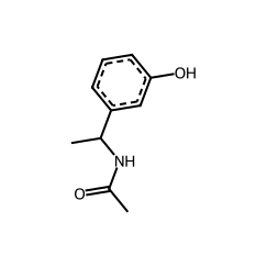 CC(=O)NC(C)c1cccc(O)c1